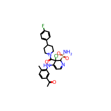 CC(=O)c1ccc(C)c(NC2=CC=NC(S(N)(=O)=O)C2(Cl)C(=O)N2CCC(c3ccc(F)cc3)CC2)c1